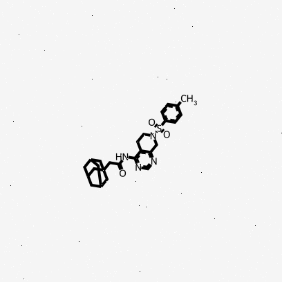 Cc1ccc(S(=O)(=O)N2CCc3c(ncnc3NC(=O)CC34CC5CC(CC(C5)C3)C4)C2)cc1